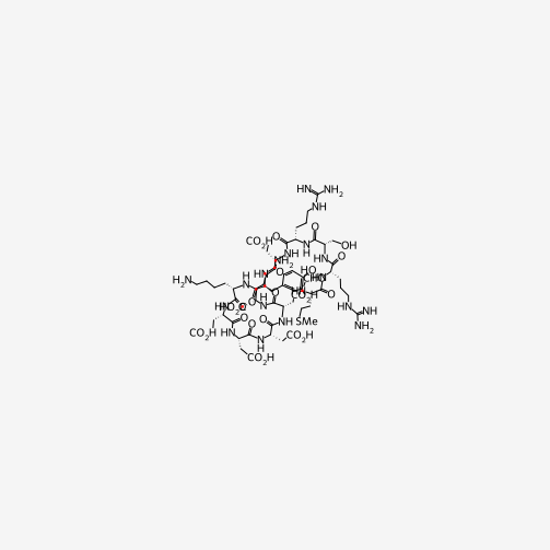 CSCC[C@H](NC=O)C(=O)N[C@@H](CCCNC(=N)N)C(=O)N[C@@H](CO)C(=O)N[C@@H](CCCNC(=N)N)C(=O)N[C@@H](CC(=O)O)C(=O)N[C@@H](Cc1ccc(O)cc1)C(=O)N[C@@H](CCCCN)C(=O)N[C@@H](CC(=O)O)C(=O)N[C@@H](CC(=O)O)C(=O)N[C@@H](CC(=O)O)C(=O)N[C@@H](CC(=O)O)C(=O)N[C@@H](CCCCN)C(=O)O